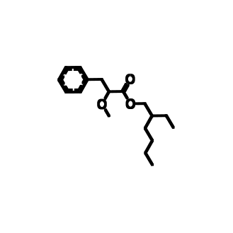 CCCCC(CC)COC(=O)C(Cc1ccccc1)OC